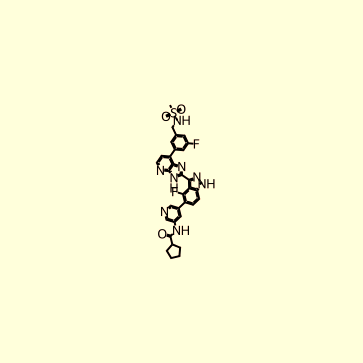 CS(=O)(=O)NCc1cc(F)cc(-c2ccnc3[nH]c(-c4n[nH]c5ccc(-c6cncc(NC(=O)C7CCCC7)c6)c(F)c45)nc23)c1